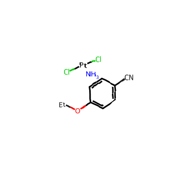 CCOc1ccc(C#N)cc1.N.[Cl][Pt][Cl]